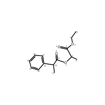 CCOC(=O)C(C)OC(=O)C(C)c1[c]cccc1